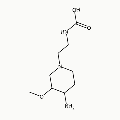 COC1CN(CCNC(=O)O)CCC1N